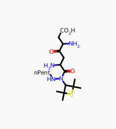 CCCCCNN(C(=O)C(N)CC(=O)C(N)CC(=O)O)C1C(C)(C)SC1(C)C